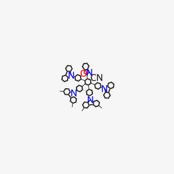 Cc1ccc2c(c1)c1cc(C)ccc1n2-c1ccc(-c2c(-c3ccc(-n4c5ccccc5c5ccccc54)cc3)c(C#N)c(-c3nc4ccccc4o3)c(-c3ccc(-n4c5ccccc5c5ccccc54)cc3)c2-c2ccc(-n3c4ccc(C)cc4c4cc(C)ccc43)cc2)cc1